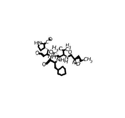 Cc1cc(C(=O)NC(C(=C=O)NC(CC2CCCCC2)C(=C=O)NC(C=C=O)C[C@@H]2CCNC2=C=O)C(C)C)no1